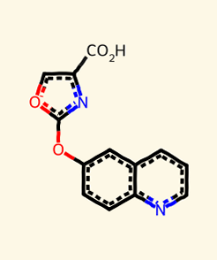 O=C(O)c1coc(Oc2ccc3ncccc3c2)n1